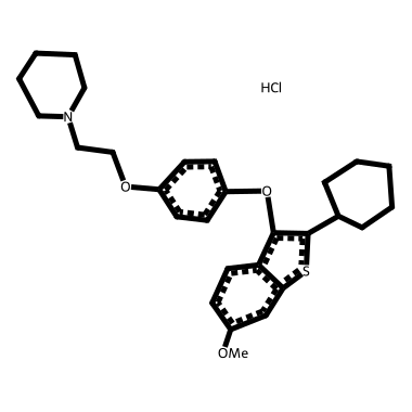 COc1ccc2c(Oc3ccc(OCCN4CCCCC4)cc3)c(C3CCCCC3)sc2c1.Cl